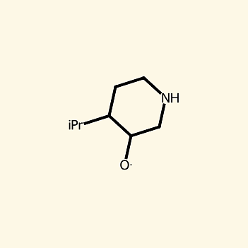 CC(C)C1CCNCC1[O]